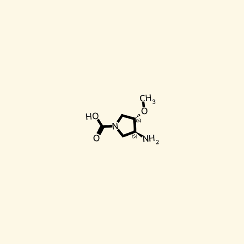 CO[C@H]1CN(C(=O)O)C[C@@H]1N